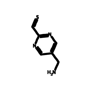 NCc1cnc(C=S)nc1